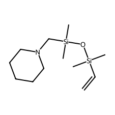 C=C[Si](C)(C)O[Si](C)(C)CN1CCCCC1